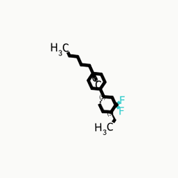 CCCCCC12CCC([C@H]3CC[C@H](CC)C(F)(F)C3)(CC1)CC2